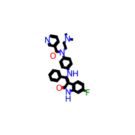 CN(C)CCN(C(=O)c1cccnc1)c1ccc(NC(=C2C(=O)Nc3cc(F)ccc32)c2ccccc2)cc1